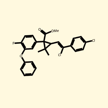 COC(=O)C1(c2ccc(F)c(Oc3ccccc3)c2)C(C=C(Cl)c2ccc(Cl)cc2)C1(C)C